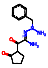 N/C(=N\N(N)Cc1ccccc1)C(=O)C1CCCC1=O